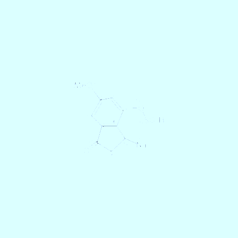 COc1ccc2c(c1)C(=O)C[CH]2[Na].O=S(=O)(O)O